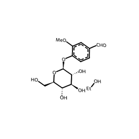 CCO.COc1cc(C=O)ccc1O[C@@H]1O[C@H](CO)[C@@H](O)[C@H](O)[C@H]1O